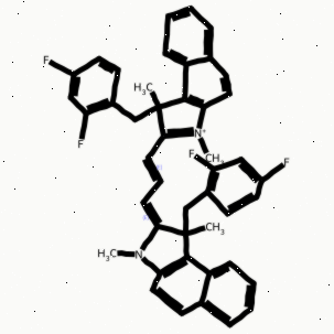 CN1/C(=C/C=C/C2=[N+](C)c3ccc4ccccc4c3C2(C)Cc2ccc(F)cc2F)C(C)(Cc2ccc(F)cc2F)c2c1ccc1ccccc21